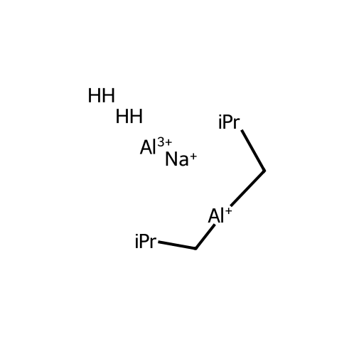 CC(C)[CH2][Al+][CH2]C(C)C.[Al+3].[HH].[HH].[Na+]